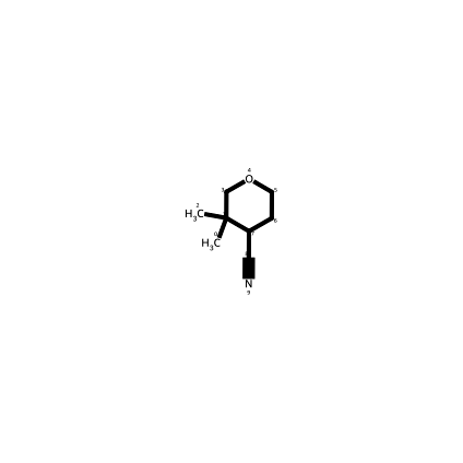 CC1(C)COCCC1C#N